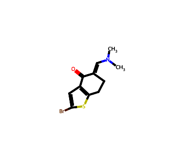 CN(C)C=C1CCc2sc(Br)cc2C1=O